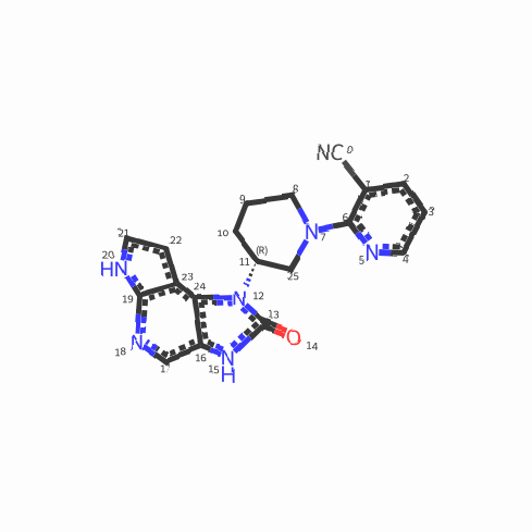 N#Cc1cccnc1N1CCC[C@@H](n2c(=O)[nH]c3cnc4[nH]ccc4c32)C1